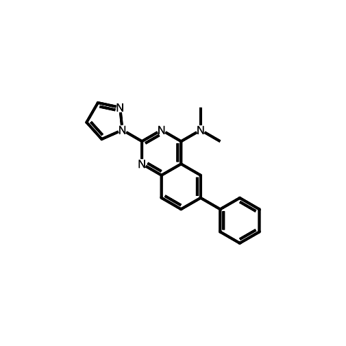 CN(C)c1nc(-n2cccn2)nc2ccc(-c3ccccc3)cc12